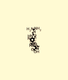 NC(N)=NCC(=O)Nc1c(F)cc(S(=O)(=O)Nc2scnc2C(=O)O)cc1F